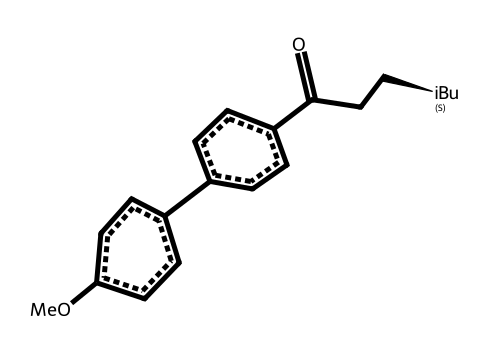 CC[C@H](C)CCC(=O)c1ccc(-c2ccc(OC)cc2)cc1